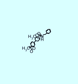 Cn1c(=O)oc2cc(C3CCN(C(=O)NCCc4ccccc4)C(C)(C)C3)ccc21